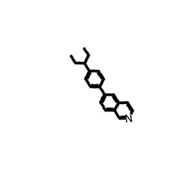 CCC(CC)c1ccc(-c2ccc3cnccc3c2)cc1